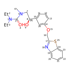 CCN(CC)C(=O)N(C)C[C@H](O)c1cccc(OCc2nc3ccccc3s2)c1